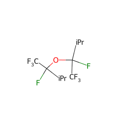 CC(C)C(F)(OC(F)(C(C)C)C(F)(F)F)C(F)(F)F